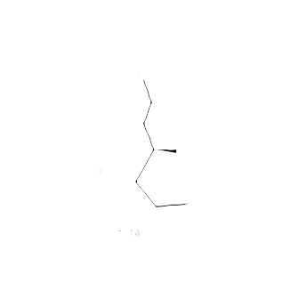 CC(=O)N[C@@H](C=O)[C@H](O)[C@H](O)CCO